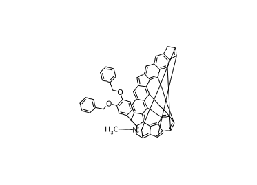 CN1CC2C3=c4c5c6c7c(cc8cc9cc%10cc%11cc%12c%13c(c4c4c5c5c7c8c7c9c%10c8c%11c%13c4c8c75)=C(C3)C%12)CC62C1c1ccc(OCc2ccccc2)c(OCc2ccccc2)c1